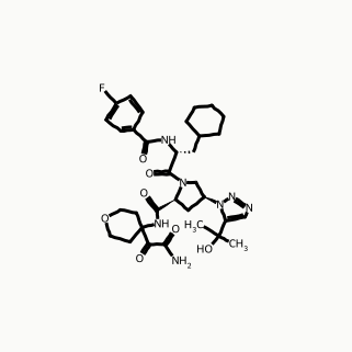 CC(C)(O)c1cnnn1[C@H]1C[C@@H](C(=O)NC2(C(=O)C(N)=O)CCOCC2)N(C(=O)[C@@H](CC2CCCCC2)NC(=O)c2ccc(F)cc2)C1